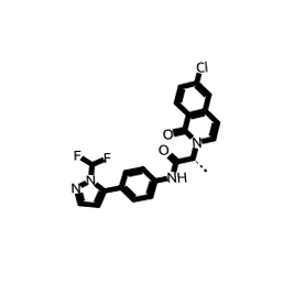 C[C@H](C(=O)Nc1ccc(-c2ccnn2C(F)F)cc1)n1ccc2cc(Cl)ccc2c1=O